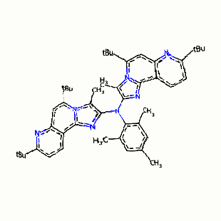 Cc1cc(C)c(N(c2nc3c4ccc(C(C)(C)C)nc4cc(C(C)(C)C)n3c2C)c2nc3c4ccc(C(C)(C)C)nc4cc(C(C)(C)C)n3c2C)c(C)c1